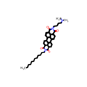 CCCCCCCCCCCCN1C(=O)c2ccc3c4ccc5c6c(ccc(c7ccc(c2c37)C1=O)c64)C(=O)N(CCCCN(C)C)C5=O